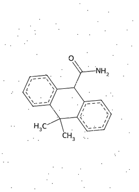 CC1(C)c2ccccc2C(C(N)=O)c2ccccc21